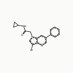 O=C(Cn1cc(Br)c2ncc(-c3ccccc3)cc21)NC1CC1